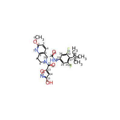 COc1ccc2c(n1)CCN(C(=O)c1cc(O)no1)[C@H]2C(=O)Nc1cc(F)c([Si](C)(C)C)c(F)c1